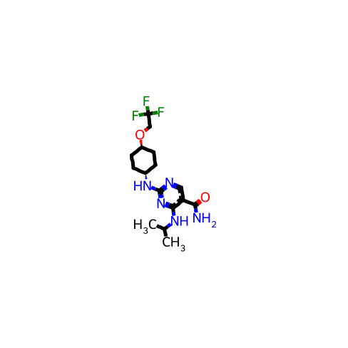 CC(C)Nc1nc(N[C@H]2CC[C@H](OCC(F)(F)F)CC2)ncc1C(N)=O